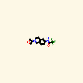 O=C(Nc1ccc2c(c1)CCN(C1COC1)C2)C(F)(F)F